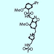 COc1ccc(C(C)C)cc1S(=O)(=O)Nc1noc2cc(Cn3cc(CNS(C)(=O)=O)cn3)cc(OC)c12